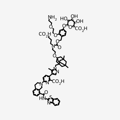 Cc1c(-c2ccc(N3CCc4cccc(C(=O)Nc5nc6ccccc6s5)c4C3)nc2C(=O)O)cnn1CC12CC3(C)CC(C)(C1)CC(OCCN(CCCC(=O)O)C(=O)OCc1ccc(O[C@@H]4O[C@H](C(=O)O)[C@@H](O)[C@H](O)[C@H]4O)cc1OCCOCCN)(C3)C2